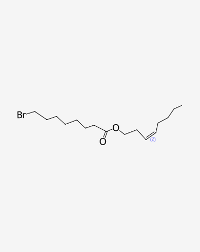 CCCC/C=C\CCOC(=O)CCCCCCCBr